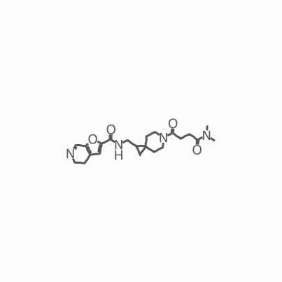 CN(C)C(=O)CCC(=O)N1CCC2(CC1)CC2CNC(=O)c1cc2c(o1)C=NCC2